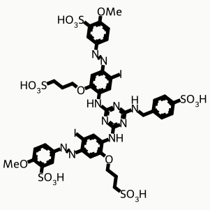 COc1ccc(N=Nc2cc(OCCCS(=O)(=O)O)c(Nc3nc(NCc4ccc(S(=O)(=O)O)cc4)nc(Nc4cc(I)c(N=Nc5ccc(OC)c(S(=O)(=O)O)c5)cc4OCCCS(=O)(=O)O)n3)cc2I)cc1S(=O)(=O)O